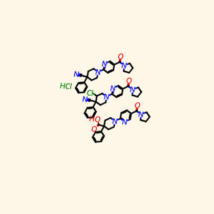 Cl.N#CC1(c2ccccc2)CCN(c2ccc(C(=O)N3CCCC3)cn2)CC1.N#CC1(c2ccccc2)CCN(c2ccc(C(=O)N3CCCC3)cn2)CC1Cl.O=C(c1ccc(N2CCC(C(=O)O)(c3ccccc3)CC2)nc1)N1CCCC1